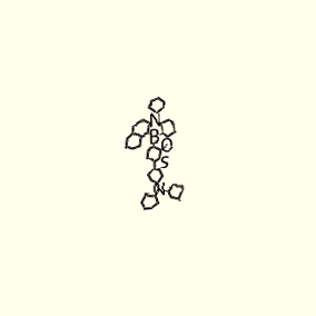 c1ccc(N(c2ccccc2)c2ccc3c(c2)sc2c4c(ccc23)B2c3c(cccc3N(c3ccccc3)c3ccc5ccccc5c32)O4)cc1